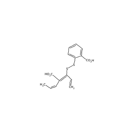 C=C/C(SSc1ccccc1C(=O)O)=C(\C=C/C)C(=O)O